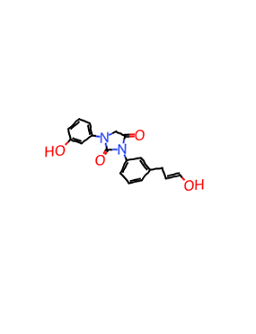 O=C1CN(c2cccc(O)c2)C(=O)N1c1cccc(CC=CO)c1